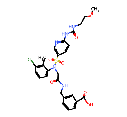 COCCNC(=O)Nc1ccc(S(=O)(=O)N(CC(=O)NCc2cccc(C(=O)O)c2)c2cccc(Cl)c2C)cn1